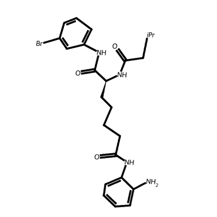 CC(C)CC(=O)N[C@@H](CCCCC(=O)Nc1ccccc1N)C(=O)Nc1cccc(Br)c1